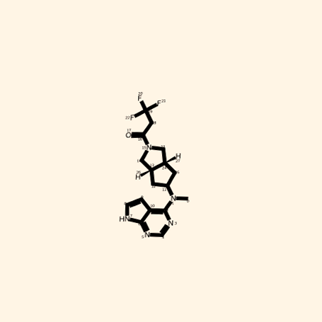 CN(c1ncnc2[nH]ccc12)C1C[C@@H]2CN(C(=O)CC(F)(F)F)C[C@@H]2C1